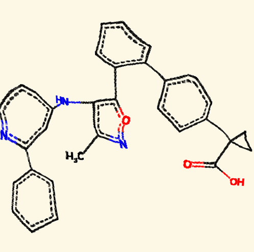 Cc1noc(-c2ccccc2-c2ccc(C3(C(=O)O)CC3)cc2)c1Nc1ccnc(-c2ccccc2)c1